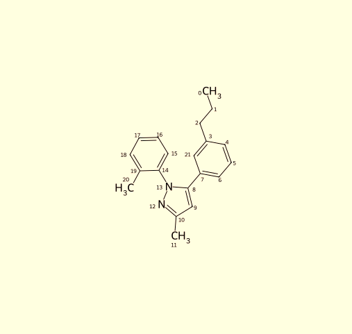 CCCc1cccc(-c2cc(C)nn2-c2ccccc2C)c1